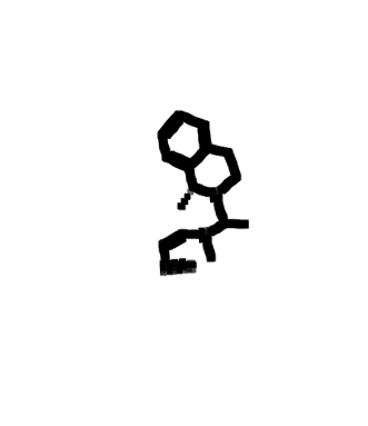 CN/C=C\N(C)C(C)N1CCc2ccccc2[C@H]1C